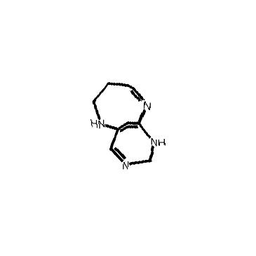 C1=NCNC2=C1NCCC=N2